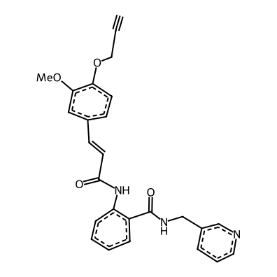 C#CCOc1ccc(/C=C/C(=O)Nc2ccccc2C(=O)NCc2cccnc2)cc1OC